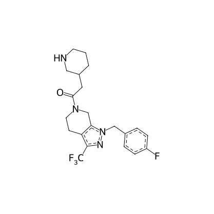 O=C(CC1CCCNC1)N1CCc2c(C(F)(F)F)nn(Cc3ccc(F)cc3)c2C1